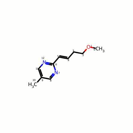 COCCC=Cc1ncc(C)cn1